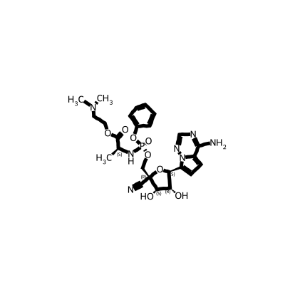 C[C@H](NP(=O)(OC[C@@]1(C#N)O[C@@H](c2ccc3c(N)ncnn23)[C@H](O)[C@@H]1O)Oc1ccccc1)C(=O)OCCN(C)C